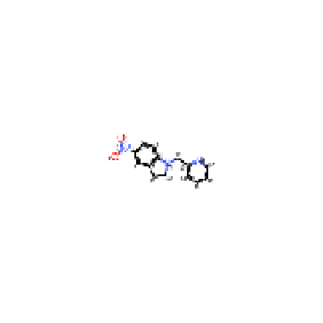 O=[N+]([O-])c1ccc2c(c1)CCN2Cc1ccccn1